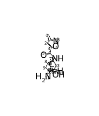 Cc1cc(C(=O)NC23CCC(N)(CC2)[C@@H](O)C3)on1